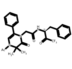 CC(=O)N1C=C(c2ccccc2)N(CC(=O)N[C@@H](Cc2ccccc2)C(=O)C(F)(F)F)C(=O)C1(C)C